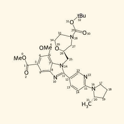 COC(=O)c1cc(OC)c2c(c1)nc(-c1ccc(N3CCC[C@@H]3C)nc1)n2C[C@@H]1CN(C(=O)OC(C)(C)C)CCO1